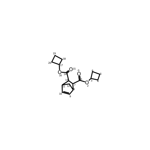 O=C(OC1CCC1)C1C2C=CC(C2)C1C(=O)OC1CCC1